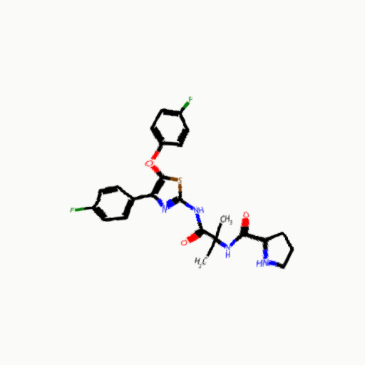 CC(C)(NC(=O)C1CCCN1)C(=O)Nc1nc(-c2ccc(F)cc2)c(Oc2ccc(F)cc2)s1